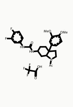 COc1ccc(C23CCC(NC(=O)Nc4ccc(F)c(F)c4)CC2N(C(C)=O)CC3)cc1OC.O=C(O)C(F)(F)F